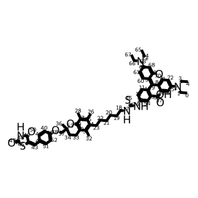 CCN(CC)c1ccc2c(-c3ccc(NC(=S)NCCCCCCc4c(C)c(C)c5c(c4C)CCC(C)(COc4ccc(/C=C6/SC(=O)NC6=O)cc4)O5)cc3C(=O)O)c3ccc(=[N+](CC)CC)cc-3oc2c1